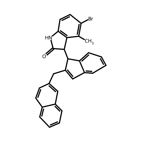 Cc1c(Br)ccc2c1C(C1C(Cc3ccc4ccccc4c3)=Cc3ccccc31)C(=O)N2